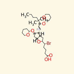 CCCCC(C)(C)[C@@H](/C=C/[C@@H]1[C@H]2CC(C(Br)CCCC(=O)O)O[C@@H]2C[C@H]1OC1CCCCO1)OC1CCCCO1